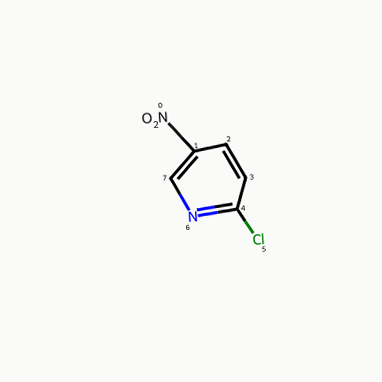 O=[N+]([O-])c1c[c]c(Cl)nc1